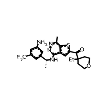 CCC1(C(=O)c2cc3c(N[C@H](C)c4cc(N)cc(C(F)(F)F)c4)nnc(C)c3s2)CCOCC1